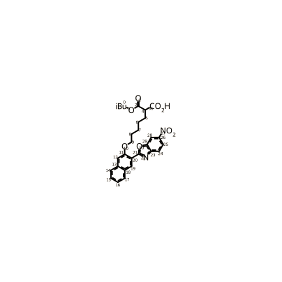 CCC(C)OC(=O)C(CCCCCOc1cc2ccccc2cc1-c1nc2ccc([N+](=O)[O-])cc2o1)C(=O)O